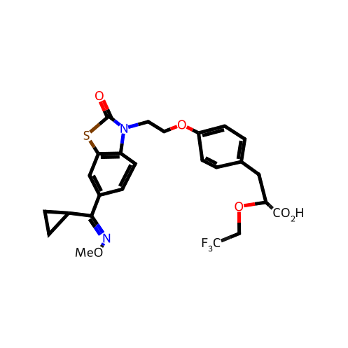 CON=C(c1ccc2c(c1)sc(=O)n2CCOc1ccc(CC(OCC(F)(F)F)C(=O)O)cc1)C1CC1